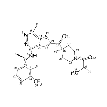 Cc1c([C@@H](C)Nc2nnc(C)c3sc(C(=O)C4(C)CCN(C(=O)C(C)O)CC4)cc23)cccc1C(F)(F)F